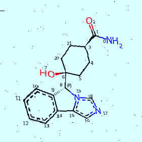 NC(=O)[C@H]1CC[C@](O)([C@H]2c3ccccc3-c3cncn32)CC1